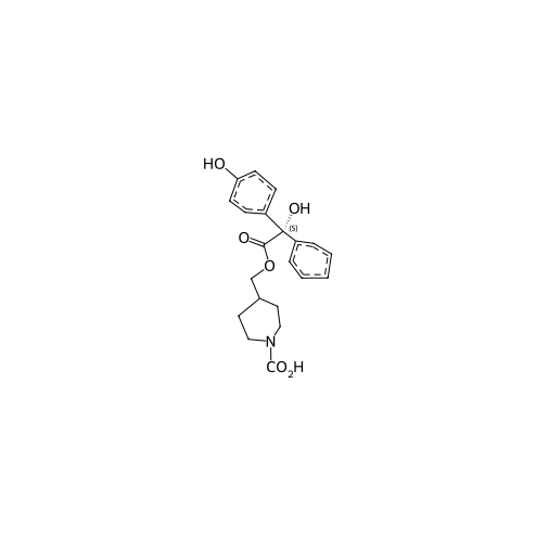 O=C(O)N1CCC(COC(=O)[C@](O)(c2ccccc2)c2ccc(O)cc2)CC1